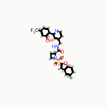 O=C(NCc1ccnc(-c2ccc(C(F)(F)F)cc2O)c1)[C@@H]1CCN1S(=O)(=O)c1cc2cc(F)ccc2o1